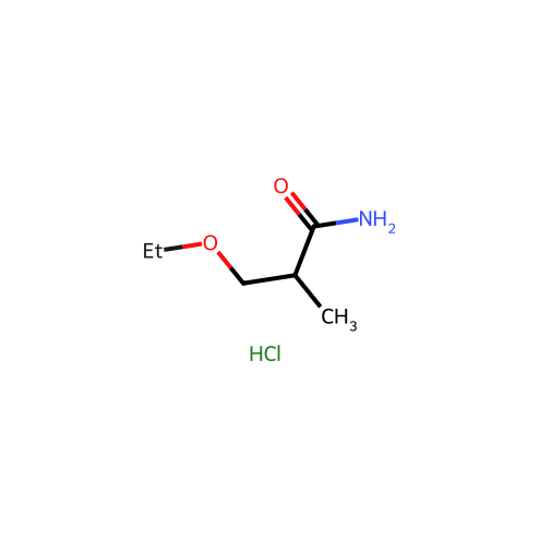 CCOCC(C)C(N)=O.Cl